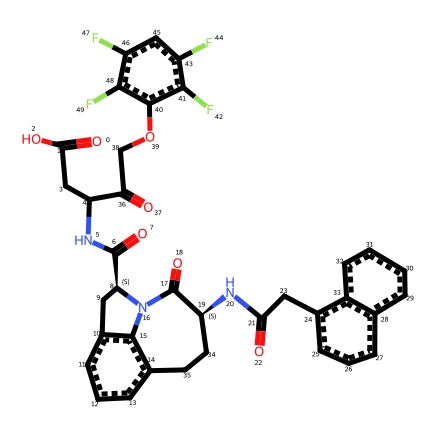 O=C(O)CC(NC(=O)[C@@H]1Cc2cccc3c2N1C(=O)[C@@H](NC(=O)Cc1cccc2ccccc12)CC3)C(=O)COc1c(F)c(F)cc(F)c1F